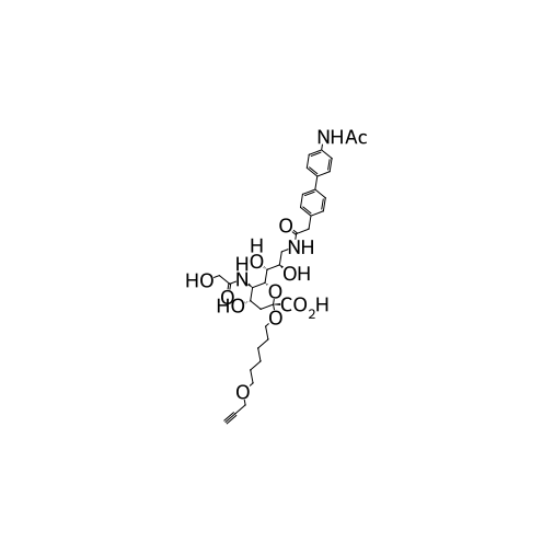 C#CCOCCCCCCO[C@]1(C(=O)O)C[C@H](O)[C@@H](NC(=O)CO)[C@H]([C@H](O)[C@H](O)CNC(=O)Cc2ccc(-c3ccc(NC(C)=O)cc3)cc2)O1